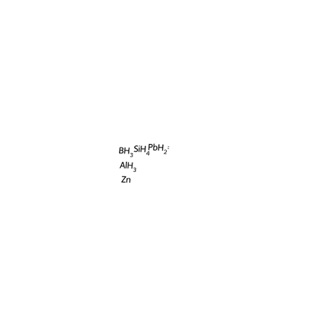 B.[AlH3].[PbH2].[SiH4].[Zn]